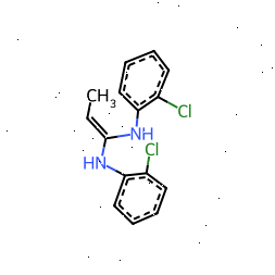 CC=C(Nc1ccccc1Cl)Nc1ccccc1Cl